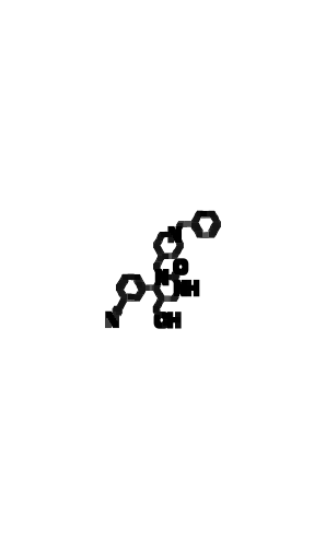 N#Cc1cccc(C2C(CO)CNC(=O)N2CC2CCN(Cc3ccccc3)CC2)c1